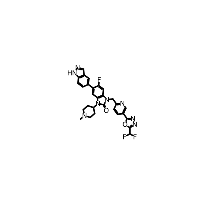 CN1CCC(n2c(=O)n(Cc3ccc(-c4nnc(C(F)F)o4)cn3)c3cc(F)c(-c4ccc5[nH]ncc5c4)cc32)CC1